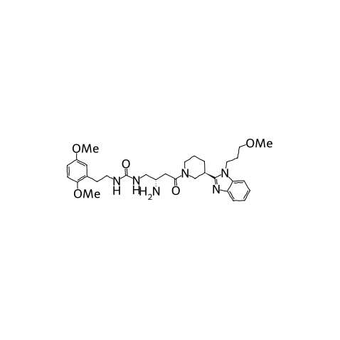 COCCCn1c([C@@H]2CCCN(C(=O)C[C@H](N)CNC(=O)NCCc3cc(OC)ccc3OC)C2)nc2ccccc21